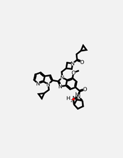 COc1cc(C(=O)N2CC3CCC2[C@@H]3N)cc2nc(-c3cc4cccnc4n3CC3CC3)n(CC3CN(C(=O)CC4CC4)C3)c12